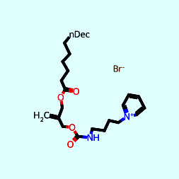 C=C(COC(=O)CCCCCCCCCCCCCCC)COC(=O)NCCCC[n+]1ccccc1.[Br-]